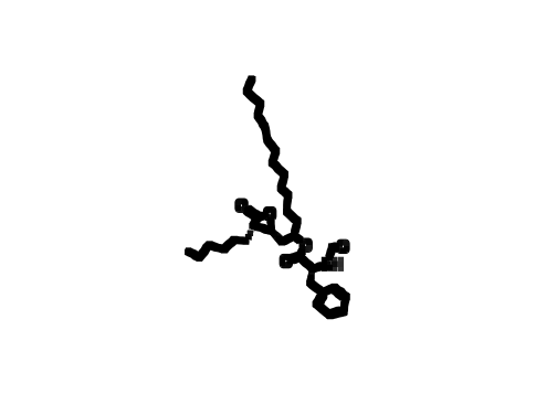 CCCCCCCCCCCCCC(C[C@@H]1OC(=O)[C@H]1CCCCCC)OC(=O)[C@H](Cc1ccccc1)NC=O